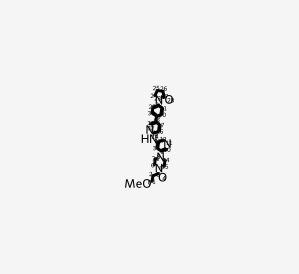 COCCC(=O)N1CCN(c2cncc(Nc3ccc(-c4ccc(N5CCCC5=O)cc4)cn3)c2)CC1